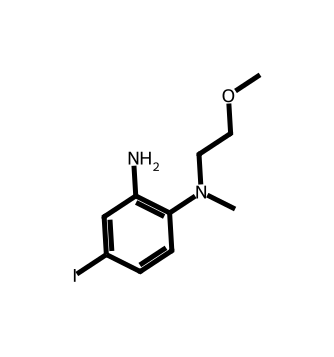 COCCN(C)c1ccc(I)cc1N